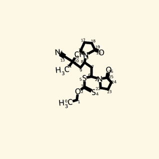 CCOC(=S)SC(CC(CC(C)(C)C#N)N1CCCC1=O)N1CCCC1=O